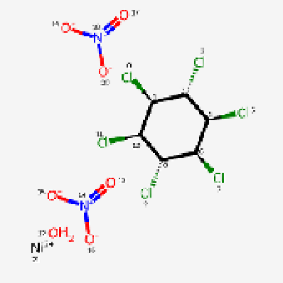 Cl[C@H]1[C@H](Cl)[C@@H](Cl)[C@@H](Cl)[C@H](Cl)[C@H]1Cl.O.O=[N+]([O-])[O-].O=[N+]([O-])[O-].[Ni+2]